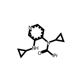 CC(C)C(=O)N(c1ccncc1NC1CC1)C1CC1